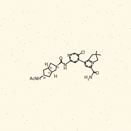 CC(=O)N[C@@H]1C[C@@H]2C[C@H](C(=O)Nc3cc(-c4cc(C(N)=O)n5c4CC(C)(C)C5)c(Cl)cn3)C[C@@H]2C1